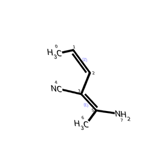 C/C=C\C(C#N)=C(\C)N